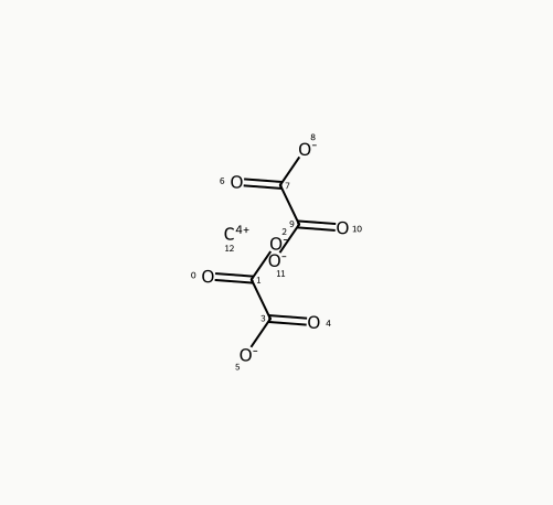 O=C([O-])C(=O)[O-].O=C([O-])C(=O)[O-].[C+4]